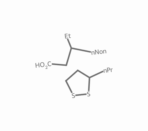 CCCC1CCSS1.CCCCCCCCCC(CC)CC(=O)O